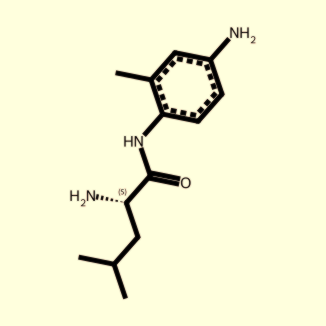 Cc1cc(N)ccc1NC(=O)[C@@H](N)CC(C)C